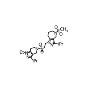 CCn1nc(C(C)C)c2c1CCN(S(=O)(=O)CCn1nc(C(C)C)c3c1CCCN(S(C)(=O)=O)C3)C2